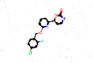 O=c1nccc(-c2cccc(OCc3ccc(Cl)cc3F)n2)o1